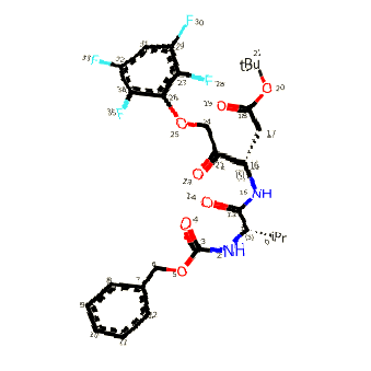 CC(C)[C@H](NC(=O)OCc1ccccc1)C(=O)N[C@@H](CC(=O)OC(C)(C)C)C(=O)COc1c(F)c(F)cc(F)c1F